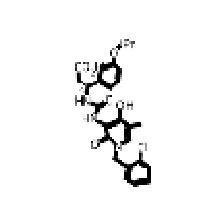 Cc1cn(Cc2ccccc2Cl)c(=O)c(NC(=O)N[C@@H](CC(=O)O)c2cccc(OC(C)C)c2)c1O